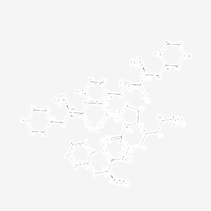 CN[C@@H](Cc1ccccc1)C(=O)N[C@@H](CCCCN)C(=O)N1CCC[C@H]1C(=O)c1c(CNC(=O)[C@@H](N)CC2CCCCC2)ccnc1C(=O)[C@H](N)CC1CCCCC1